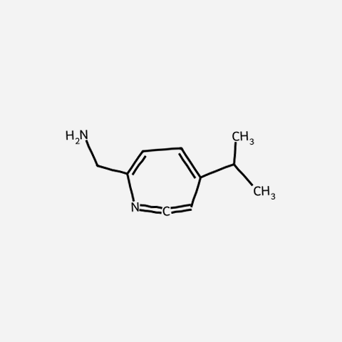 CC(C)C1=CC=C(CN)N=C=C1